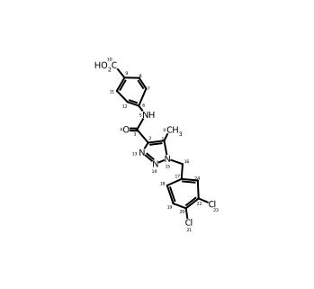 Cc1c(C(=O)Nc2ccc(C(=O)O)cc2)nnn1Cc1ccc(Cl)c(Cl)c1